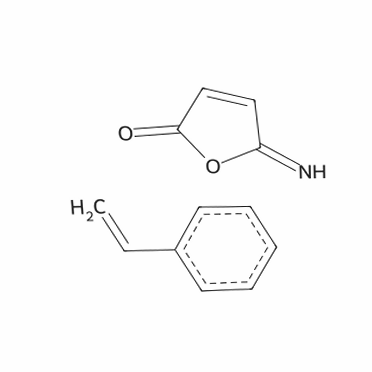 C=Cc1ccccc1.N=C1C=CC(=O)O1